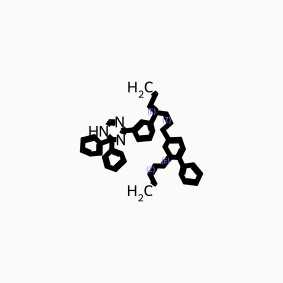 C=C/C=C\C=C1/CC(C/C=C\C(=C/C=C)c2cccc(C3=NC(c4ccccc4)(c4ccccc4)NC=N3)c2)=CC=C1c1ccccc1